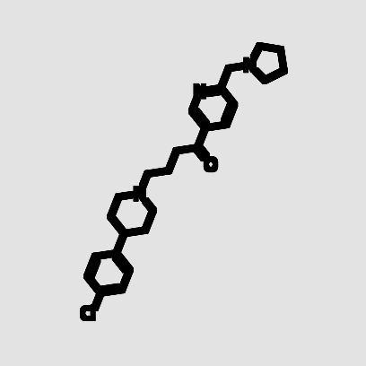 O=C(CCCN1CCC(c2ccc(Cl)cc2)CC1)c1ccc(CN2CCCC2)nc1